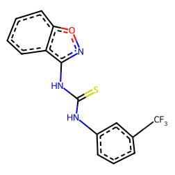 FC(F)(F)c1cccc(NC(=S)Nc2noc3ccccc23)c1